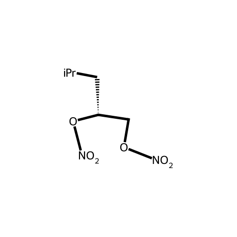 CC(C)C[C@H](CO[N+](=O)[O-])O[N+](=O)[O-]